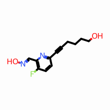 OCCCCC#Cc1ccc(F)c(/C=N/O)n1